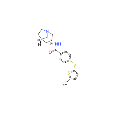 Cc1ccc(Sc2ccc(C(=O)N[C@@H]3C[C@@H]4CCN(C4)C3)cc2)s1